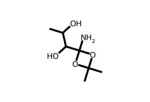 CC(O)C(O)C1(N)OC(C)(C)O1